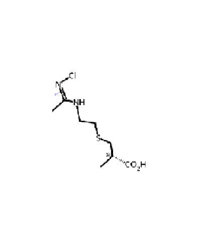 C/C(=N/Cl)NCCSC[C@@H](C)C(=O)O